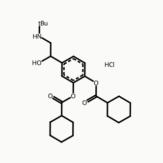 CC(C)(C)NCC(O)c1ccc(OC(=O)C2CCCCC2)c(OC(=O)C2CCCCC2)c1.Cl